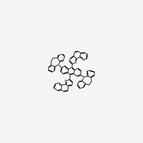 c1ccc2c(c1)CCc1ccccc1N2c1ccc2c(-c3ccc4ccc5cccnc5c4n3)c3cc(N4c5ccccc5CCc5ccccc54)ccc3c(-c3ccc4ccc5cccnc5c4n3)c2c1